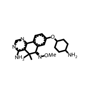 CO/N=C1\c2cc(OC3CCC(N)CC3)ccc2-c2ncnc(N)c2C1(C)C